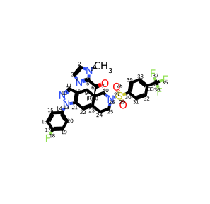 Cn1ccnc1C(=O)[C@]12Cc3cnn(-c4ccc(F)cc4)c3C=C1CCN(S(=O)(=O)c1ccc(C(F)(F)F)cc1)C2